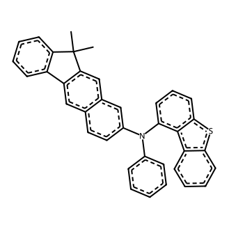 CC1(C)c2ccccc2-c2cc3ccc(N(c4ccccc4)c4cccc5sc6ccccc6c45)cc3cc21